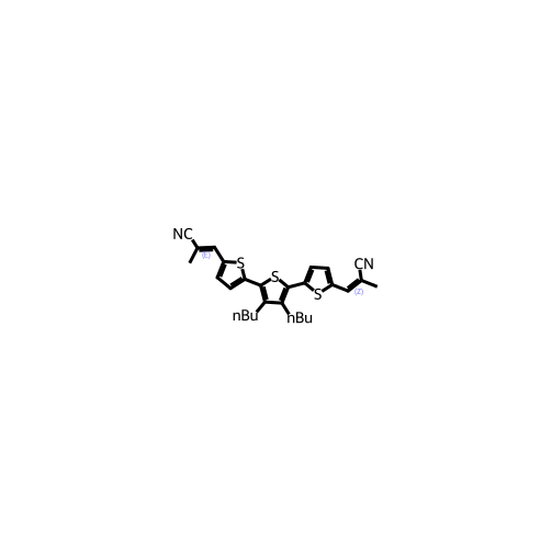 CCCCc1c(-c2ccc(/C=C(/C)C#N)s2)sc(-c2ccc(/C=C(\C)C#N)s2)c1CCCC